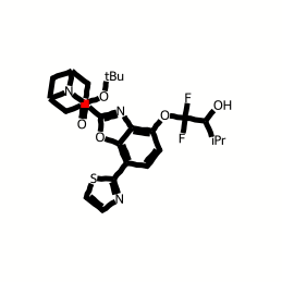 CC(C)C(O)C(F)(F)Oc1ccc(-c2nccs2)c2oc(N3CC4CC(C3)N4C(=O)OC(C)(C)C)nc12